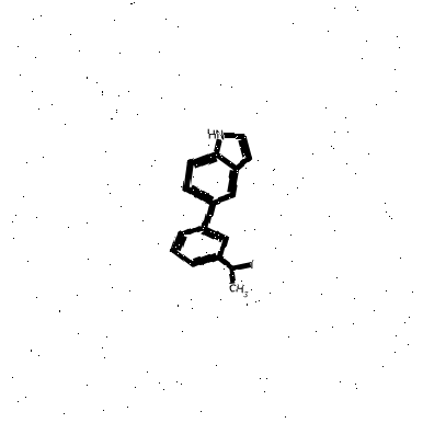 CC(I)c1cccc(-c2ccc3[nH]ccc3c2)c1